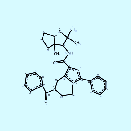 CC(C)(C)C(NC(=O)c1nc(-c2ccccc2)n2c1CN(C(=O)c1ccccc1)CC2)C1(C)CCCC1